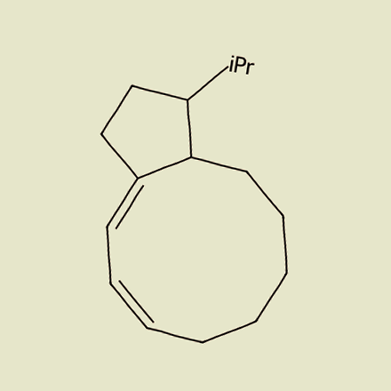 CC(C)C1CCC2=CC=CCCCCCC21